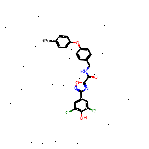 CC(C)(C)c1ccc(Oc2ccc(CNC(=O)c3nc(-c4cc(Cl)c(O)c(Cl)c4)no3)cc2)cc1